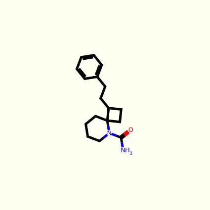 NC(=O)N1CCCCC12CCC2CCc1ccccc1